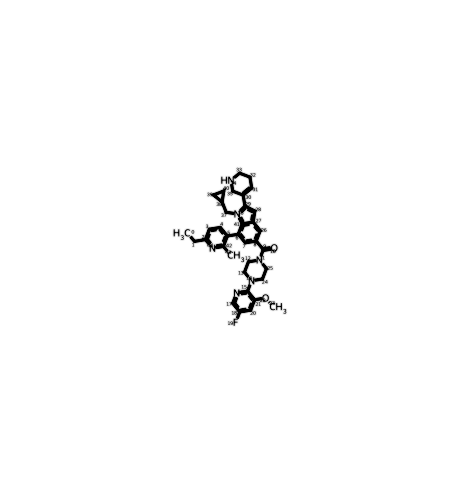 CCc1ccc(-c2cc(C(=O)N3CCN(c4ncc(F)cc4OC)CC3)cc3cc(C4=CCCNC4)n(CC4CC4)c23)c(C)n1